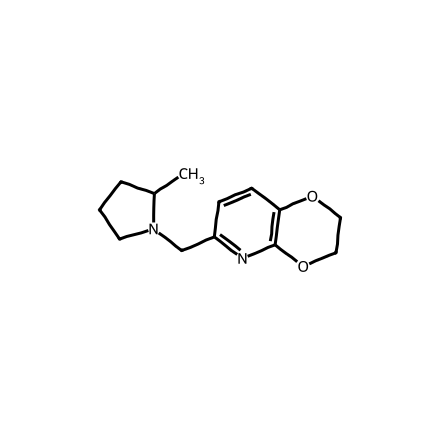 CC1CCCN1Cc1ccc2c(n1)OCCO2